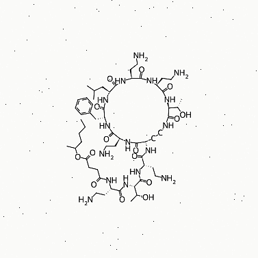 CCCCC(C)OC(=O)CCC(=O)N[C@@H](CCN)C(=O)N[C@H](C(=O)N[C@@H](CCN)C(=O)N[C@H]1CCNC(=O)[C@H]([C@H](C)O)NC(=O)[C@H](CCN)NC(=O)[C@H](CCN)NC(=O)[C@H](CC(C)C)NC(=O)[C@@H](Cc2ccccc2)NC(=O)[C@H](CCN)NC1=O)C(C)O